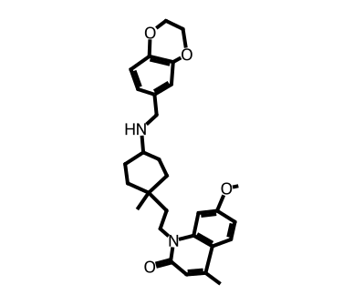 COc1ccc2c(C)cc(=O)n(CCC3(C)CCC(NCc4ccc5c(c4)OCCO5)CC3)c2c1